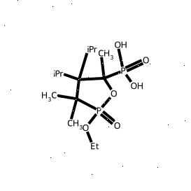 CCOP1(=O)OC(C)(P(=O)(O)O)C(C(C)C)(C(C)C)C1(C)C